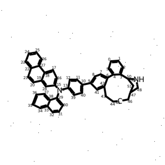 c1ccc2c(c1)-c1ccc(-c3ccc(N(c4ccc5c(ccc6ccccc65)c4)c4cccc5ccccc45)cc3)cc1CCCCC1CNC2C1